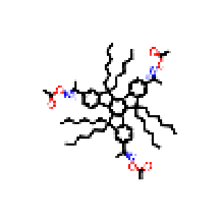 CCCCCCC1(CCCCCC)c2cc(/C(C)=N/OC(C)=O)ccc2-c2c1c1c(c3c2C(CCCCCC)(CCCCCC)c2cc(/C(C)=N/OC(C)=O)ccc2-3)C(CCCCCC)(CCCCCC)c2cc(/C(C)=N/OC(C)=O)ccc2-1